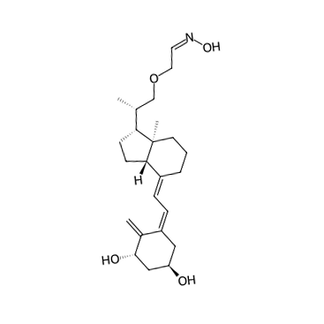 C=C1/C(=C\C=C2/CCC[C@]3(C)[C@@H]([C@H](C)COC/C=N\O)CC[C@@H]23)C[C@@H](O)C[C@@H]1O